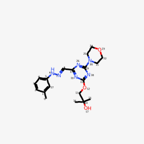 Cc1cccc(NN=Cc2nc(OCC(C)(C)O)nc(N3CCOCC3)n2)c1